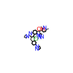 Cc1ccc(C(O)(c2ccc3nc(N4CCC4)c(Cc4ccc(-n5cccn5)cc4)c(Cl)c3c2)c2cnnn2C)c(C)n1